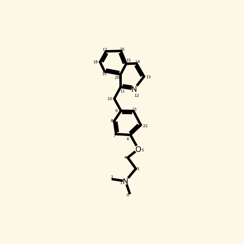 CN(C)CCOc1ccc(Cc2nccc3ccccc23)cc1